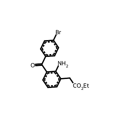 CCOC(=O)Cc1cccc(C(=O)c2ccc(Br)cc2)c1N